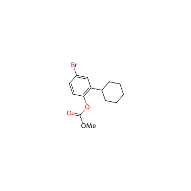 COC(=O)Oc1ccc(Br)cc1C1CCCCC1